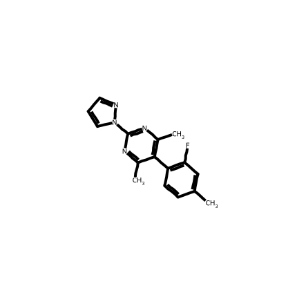 Cc1ccc(-c2c(C)nc(-n3cccn3)nc2C)c(F)c1